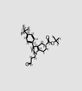 CC(C)(C)OC(=O)N1CCc2c(c(-c3ccc(C(F)(F)F)cc3)nn2CCC=O)C1